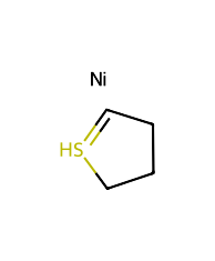 C1=[SH]CCC1.[Ni]